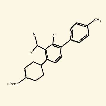 CCCCCC1CCC(c2ccc(-c3ccc(C)cc3)c(F)c2C(F)F)CC1